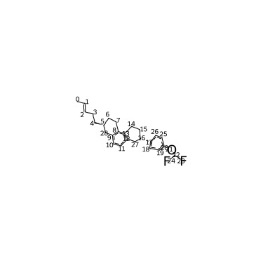 C/C=C/CC[C@H]1CCc2c(ccc3c2CC[C@H](c2ccc(OC(F)F)cc2)C3)C1